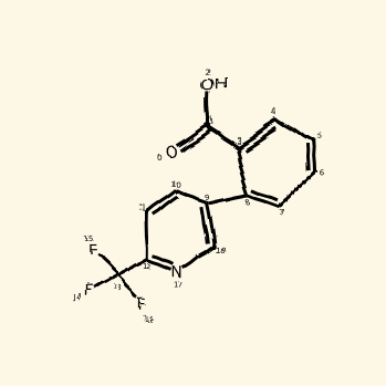 O=C(O)c1ccccc1-c1ccc(C(F)(F)F)nc1